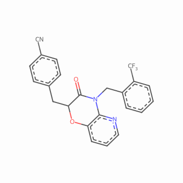 N#Cc1ccc(CC2Oc3cccnc3N(Cc3ccccc3C(F)(F)F)C2=O)cc1